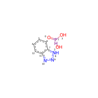 O=[PH](O)O.c1ccc2[nH]nnc2c1